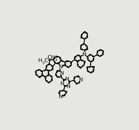 CC1(C)c2cc3c4ccccc4c4ccccc4c3cc2-c2c1ccc1c3cc(-c4ccc(N(c5ccc(-c6ccccc6)cc5)c5cc(-c6ccccc6)cc(-c6ccccc6)c5)c5ccccc45)ccc3n(-c3cccc(-c4nc(-c5ccncc5)nc(-c5ccncc5)n4)n3)c21